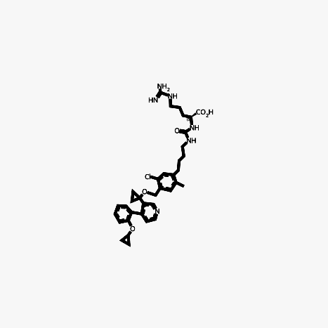 Cc1cc(COC2(c3cnccc3-c3ccccc3OC3CC3)CC2)c(Cl)cc1CCCCNC(=O)N[C@@H](CCCNC(=N)N)C(=O)O